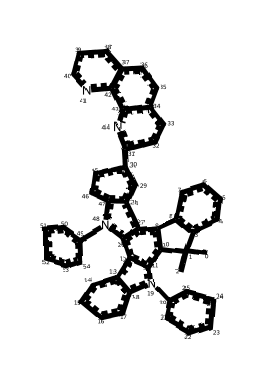 CC1(C)c2ccccc2-c2c1c1c(c3ccccc3n1-c1ccccc1)c1c2c2cc(-c3ccc4ccc5cccnc5c4n3)ccc2n1-c1ccccc1